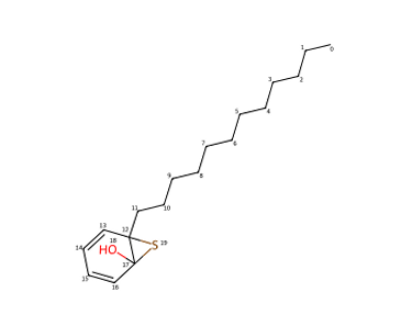 CCCCCCCCCCCCC12C=CC=CC1(O)S2